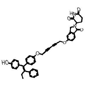 CCC(=C(c1ccc(O)cc1)c1ccc(OCC#CC#CCOc2ccc3c(c2)CN(C2CCC(=O)NC2=O)C3=O)cc1)c1ccccc1